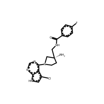 N[C@]1(CNC(=O)c2ccc(F)cc2)CCN(c2ncnc3[nH]cc(Cl)c23)C1